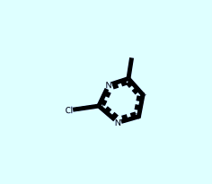 Cc1[c]cnc(Cl)n1